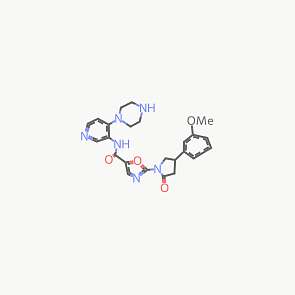 COc1cccc(C2CC(=O)N(c3ncc(C(=O)Nc4cnccc4N4CCNCC4)o3)C2)c1